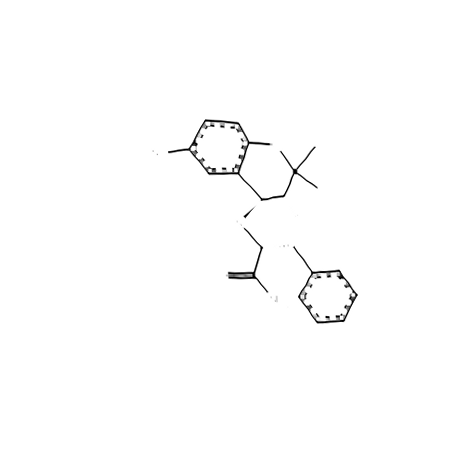 CC1(C)Oc2ccc(C#N)cc2[C@H](N[C@H](Cc2ccccc2)C(N)=O)[C@H]1O